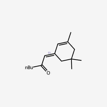 CCCCC(=O)/C=C1/C=C(C)CC(C)(C)C1